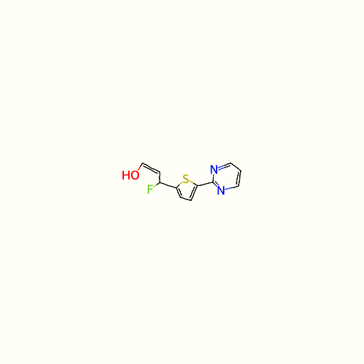 O/C=C\C(F)c1ccc(-c2ncccn2)s1